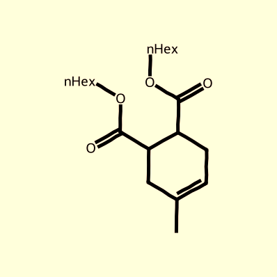 CCCCCCOC(=O)C1CC=C(C)CC1C(=O)OCCCCCC